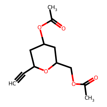 C#CC1CC(OC(C)=O)CC(COC(C)=O)O1